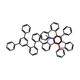 Cn1c2c(-c3ccccc3-c3ccccc3-c3cc(-c4ccccc4)cc(-c4ccccc4)c3)cccc2c2c3oc4ccccc4c3cc(-c3ccccc3-c3ccccc3-c3cc(-c4ccccc4)cc(-c4ccccc4)c3)c21